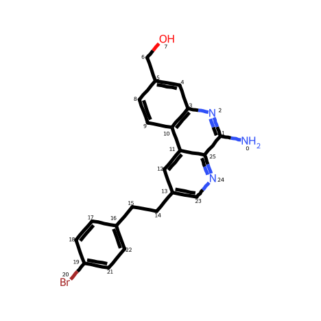 Nc1nc2cc(CO)ccc2c2cc(CCc3ccc(Br)cc3)cnc12